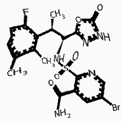 Cc1ccc(F)c([C@@H](C)[C@H](NS(=O)(=O)c2ncc(Br)cc2C(N)=O)c2n[nH]c(=O)o2)c1C